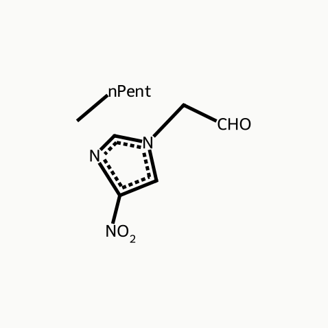 CCCCCC.O=CCn1cnc([N+](=O)[O-])c1